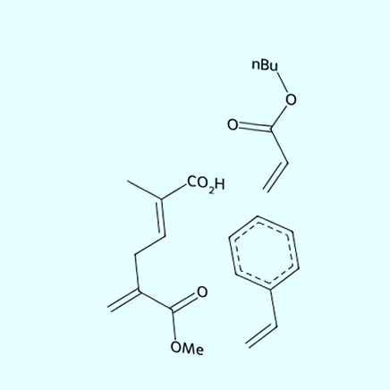 C=C(CC=C(C)C(=O)O)C(=O)OC.C=CC(=O)OCCCC.C=Cc1ccccc1